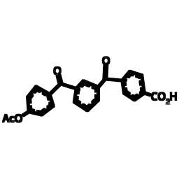 CC(=O)Oc1ccc(C(=O)c2cccc(C(=O)c3ccc(C(=O)O)cc3)c2)cc1